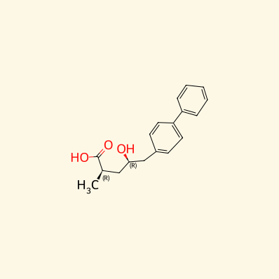 C[C@H](C[C@@H](O)Cc1ccc(-c2ccccc2)cc1)C(=O)O